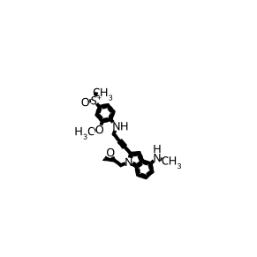 CNc1cccc2c1cc(C#CCNc1ccc([S+](C)[O-])cc1OC)n2CC1CO1